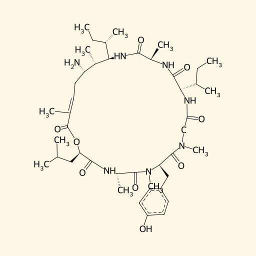 CCC(C)[C@@H]1NC(=O)CN(C)C(=O)[C@@H](Cc2ccc(O)cc2)N(C)C(=O)[C@H](C)NC(=O)[C@@H](CC(C)C)OC(=O)/C(C)=C/C[C@H](N)[C@H](C)[C@@H]([C@@H](C)CC)NC(=O)[C@@H](C)NC1=O